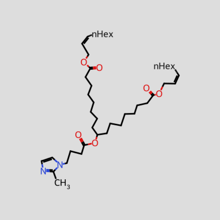 CCCCCC/C=C\COC(=O)CCCCCCCC(CCCCCCCC(=O)OC/C=C\CCCCCC)OC(=O)CCCn1ccnc1C